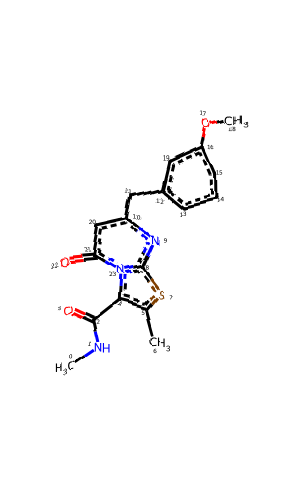 CNC(=O)c1c(C)sc2nc(Cc3cccc(OC)c3)cc(=O)n12